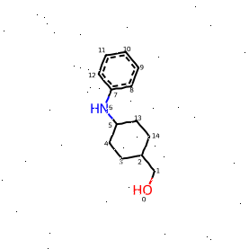 OCC1CCC(Nc2ccccc2)CC1